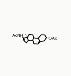 CC(=O)NC1=CCC2C3CC=C4C[C@@H](OC(C)=O)CC[C@]4(C)C3CC[C@]12C